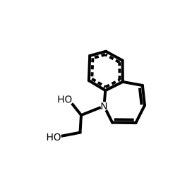 OCC(O)N1C=CC=Cc2ccccc21